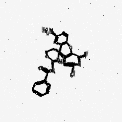 Nc1ccc2c(c1)C1(CCO/C(=N\C(=O)c3ccccc3)N1)c1cc(Cl)nc(F)c1O2